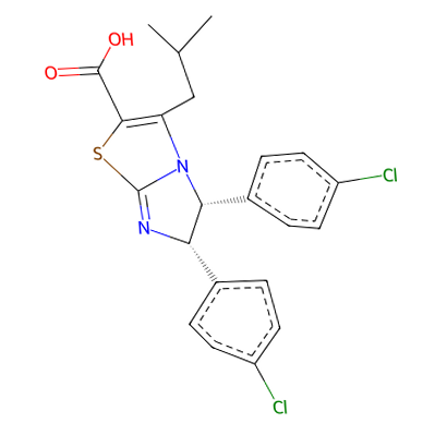 CC(C)CC1=C(C(=O)O)SC2=N[C@@H](c3ccc(Cl)cc3)[C@@H](c3ccc(Cl)cc3)N21